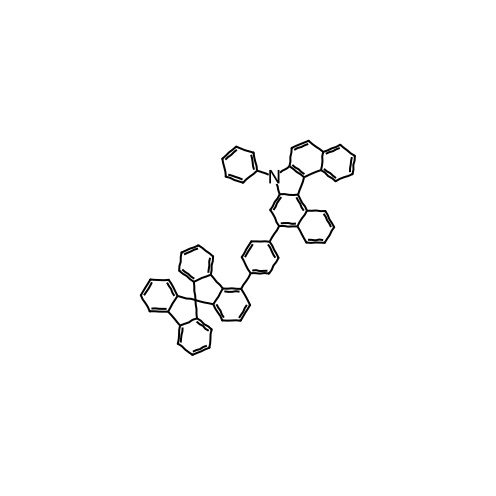 c1ccc(-n2c3ccc4ccccc4c3c3c4ccccc4c(-c4ccc(-c5cccc6c5-c5ccccc5C65c6ccccc6-c6ccccc65)cc4)cc32)cc1